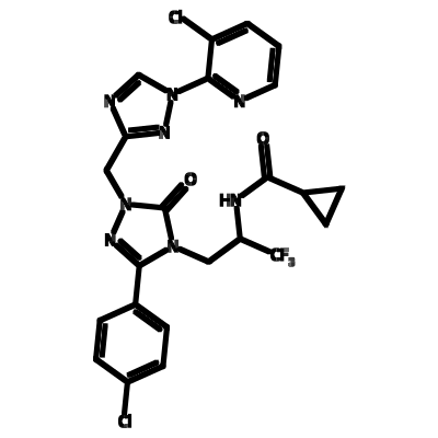 O=C(NC(Cn1c(-c2ccc(Cl)cc2)nn(Cc2ncn(-c3ncccc3Cl)n2)c1=O)C(F)(F)F)C1CC1